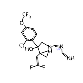 N=C/N=C\NCC(O)(c1ccc(OC(F)(F)F)cc1Cl)C1(C=C(F)F)CC1